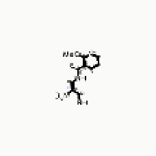 COc1ncccc1[C@H](C)N/C=C(\C=N)[N+](=O)[O-]